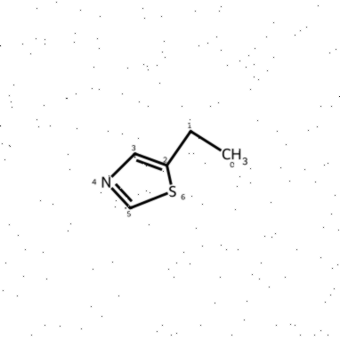 CCc1[c]n[c]s1